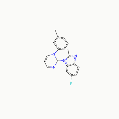 Cc1cccc(N2C=CC=NC2n2c(C)nc3ccc(F)cc32)c1